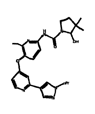 CCCn1cc(-c2cc(Oc3ccc(NC(=O)N4CCC(C)(C)C4O)nc3C)ccn2)cn1